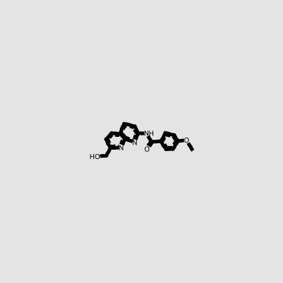 COc1ccc(C(=O)Nc2ccc3ccc(CO)nc3n2)cc1